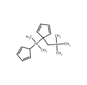 C[Si](C)(C)C[C]1([Hf]([CH3])([CH3])[CH]2C=CC=C2)C=CC=C1